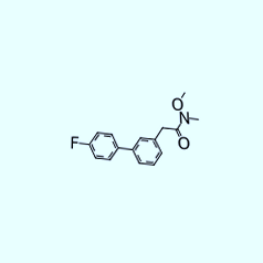 CON(C)C(=O)Cc1cccc(-c2ccc(F)cc2)c1